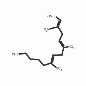 CCCCC/C=C(/C/C=C(/C/C=C(/CCCC[C]=O)[N+](=O)[O-])[N+](=O)[O-])[N+](=O)[O-]